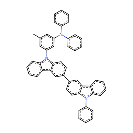 Cc1cc(N(c2ccccc2)c2ccccc2)cc(-n2c3ccccc3c3cc(-c4ccc5c(c4)c4ccccc4n5-c4ccccc4)ccc32)c1